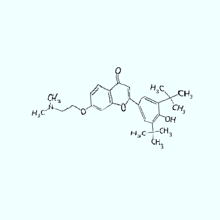 CN(C)CCOc1ccc2c(=O)cc(-c3cc(C(C)(C)C)c(O)c(C(C)(C)C)c3)oc2c1